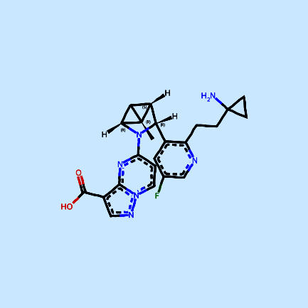 C[C@@]12C3[C@@H]1[C@H](c1cc(F)cnc1CCC1(N)CC1)N(c1ccn4ncc(C(=O)O)c4n1)[C@H]32